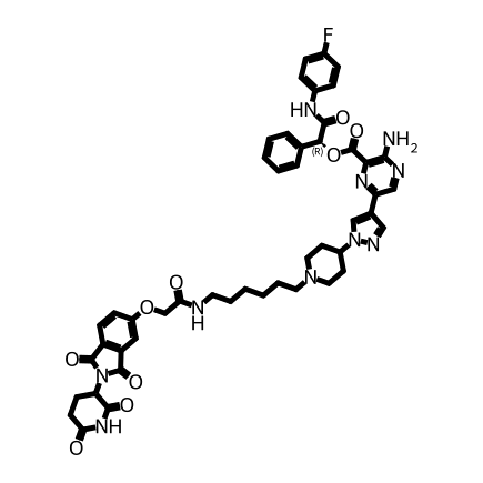 Nc1ncc(-c2cnn(C3CCN(CCCCCCNC(=O)COc4ccc5c(c4)C(=O)N(C4CCC(=O)NC4=O)C5=O)CC3)c2)nc1C(=O)O[C@@H](C(=O)Nc1ccc(F)cc1)c1ccccc1